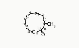 CC1CCC=CCCCCCCCCC(=O)C1